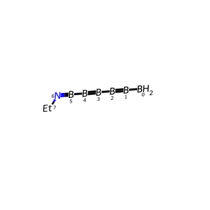 BB=BB=BB=NCC